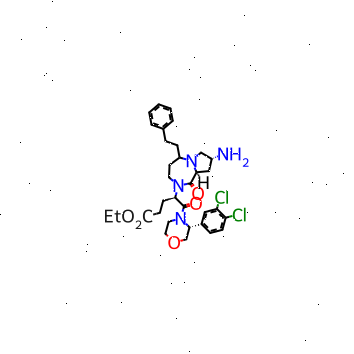 CCOC(=O)CC[C@H](C(=O)N1CCOC[C@H]1c1ccc(Cl)c(Cl)c1)N1CCC(CCc2ccccc2)N2C[C@H](N)C[C@H]2C1=O